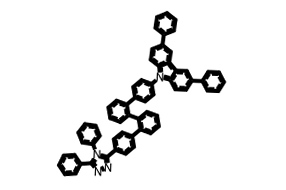 c1ccc(-c2ccc3c(c2)c2cc(-c4ccccc4)ccc2n3-c2ccc(-c3ccccc3-c3ccccc3-c3ccc(-c4nnc(-c5ccccc5)n4-c4ccccc4)cc3)cc2)cc1